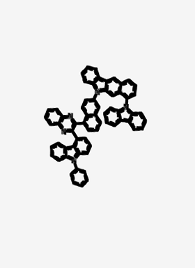 c1ccc(-n2c3ccccc3c3c(-c4nc5ccccc5nc4-c4cccc5cc(-n6c7ccccc7c7cc8cccc(-n9c%10ccccc%10c%10ccccc%109)c8cc76)ccc45)cccc32)cc1